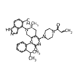 C=CC(=O)N1CCN(c2nc(=O)n(-c3ccccc3C(C)C)c3c2CC(C)N(c2c(C)ccc4[nH]ncc24)C3)CC1